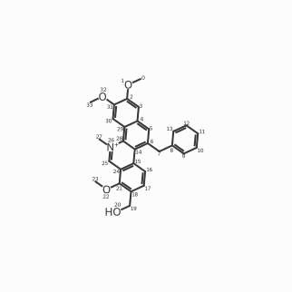 COc1cc2cc(Cc3ccccc3)c3c4ccc(CO)c(OC)c4c[n+](C)c3c2cc1OC